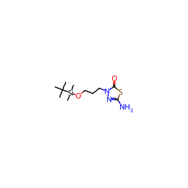 CC(C)(C)[Si](C)(C)OCCCn1nc(N)sc1=O